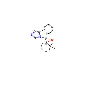 CC1(C)CCCC[C@]1(O)[C@H]1c2ccccc2-c2cncn21